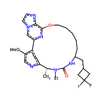 CCN1C(=O)NC(CC2CC(F)(F)C2)CCCCCOc2nc(cn3ccnc23)-c2cc(ncc2OC)[C@H]1C